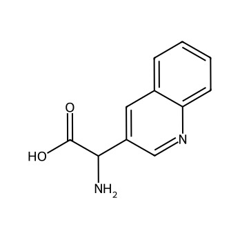 NC(C(=O)O)c1cnc2ccccc2c1